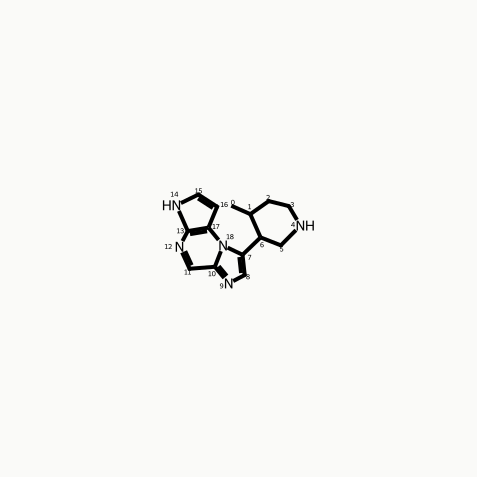 CC1CCNCC1c1cnc2cnc3[nH]ccc3n12